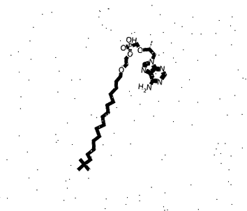 C[C@H](Cn1cnc2c(N)ncnc21)OCP(=O)(O)OCCOCCCCCCCCCCCCCCCC(C)(C)C